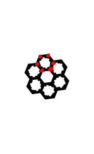 c1ccc2c(c1)ccc1ccc3ccc4ccc5ccc6ccc7ccccc7c6c5c4c3c12